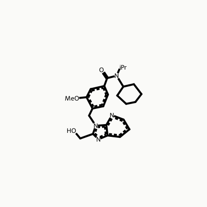 COc1cc(C(=O)N(C(C)C)C2CCCCC2)ccc1Cn1c(CO)nc2cccnc21